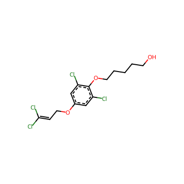 OCCCCCOc1c(Cl)cc(OCC=C(Cl)Cl)cc1Cl